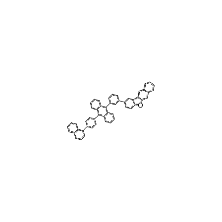 c1cc(-c2ccc3oc4cc5ccccc5cc4c3c2)cc(-c2c3ccccc3c(-c3ccc(-c4cccc5ccccc45)cc3)c3ccccc23)c1